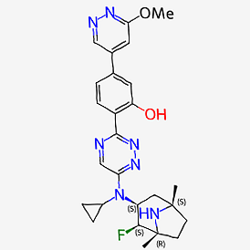 COc1cc(-c2ccc(-c3ncc(N(C4CC4)[C@H]4C[C@]5(C)CC[C@@](C)(N5)[C@H]4F)nn3)c(O)c2)cnn1